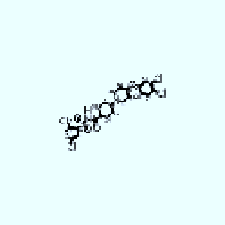 O=C(NS(=O)(=O)c1cc(Cl)sc1Cl)C1CCC(N2CCC(Oc3ccc(Cl)c(Cl)c3)CC2)CC1